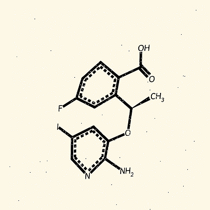 C[C@@H](Oc1cc(I)cnc1N)c1cc(F)ccc1C(=O)O